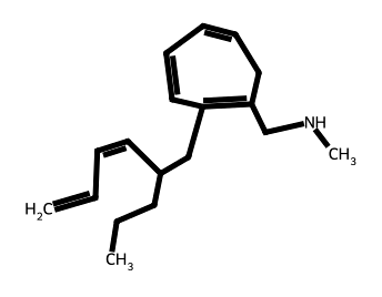 C=C/C=C\C(CCC)CC1=C(CNC)CC=CC=C1